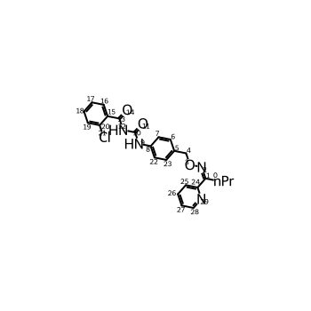 CCCC(=NOCc1ccc(NC(=O)NC(=O)c2ccccc2Cl)cc1)c1ccccn1